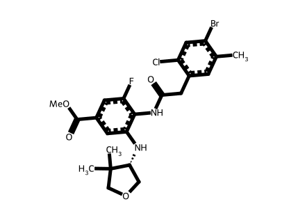 COC(=O)c1cc(F)c(NC(=O)Cc2cc(C)c(Br)cc2Cl)c(N[C@@H]2COCC2(C)C)c1